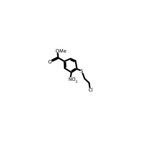 COC(=O)c1ccc(SCCCl)c([N+](=O)[O-])c1